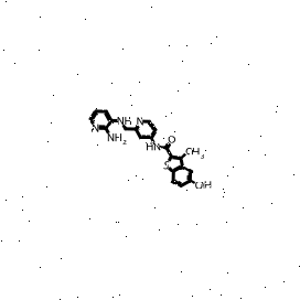 Cc1c(C(=O)Nc2ccnc(CNc3cccnc3N)c2)sc2ccc(O)cc12